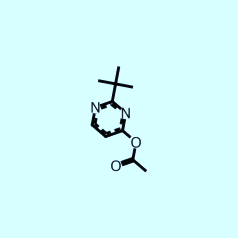 CC(=O)Oc1ccnc(C(C)(C)C)n1